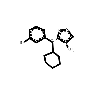 Cn1cnnc1[C@@H](c1cccc(Br)c1)C1CCCCC1